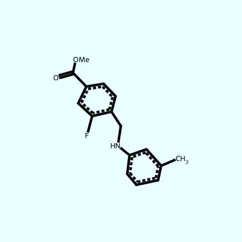 COC(=O)c1ccc(CNc2cccc(C)c2)c(F)c1